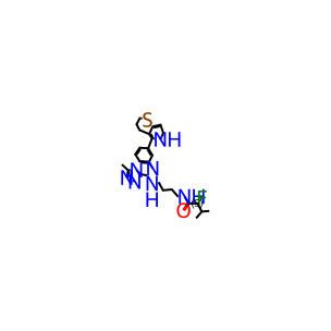 Cc1nnc2c(NCCCCNC(=O)[C@@H](F)C(C)C)nc3cc(C4=C5CCCSC5=CCN4)ccc3n12